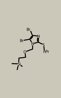 CCCSc1nc(Br)c(Br)n1COCC[Si](C)(C)C